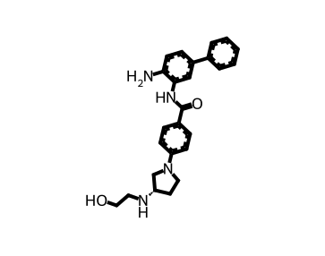 Nc1ccc(-c2ccccc2)cc1NC(=O)c1ccc(N2CC[C@H](NCCO)C2)cc1